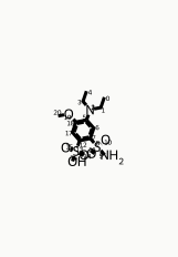 CCN(CC)c1cc(S(N)(=O)=O)c(S(=O)(=O)O)cc1OC